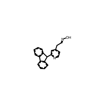 ON=CCc1ccnc(C2c3ccccc3-c3ccccc32)c1